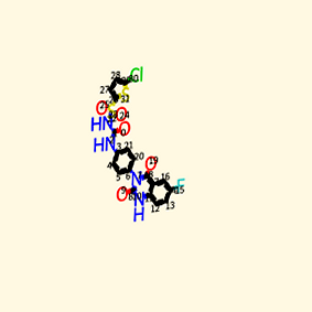 O=C(Nc1ccc(-n2c(=O)[nH]c3ccc(F)cc3c2=O)cc1)NS(=O)(=O)c1ccc(Cl)s1